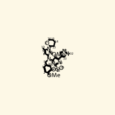 COc1ccc(CN(c2cc(C)n(C3CCCCO3)n2)c2nc(S(C)(=O)=O)nc(-c3cnn(C)c3)c2OC)cc1